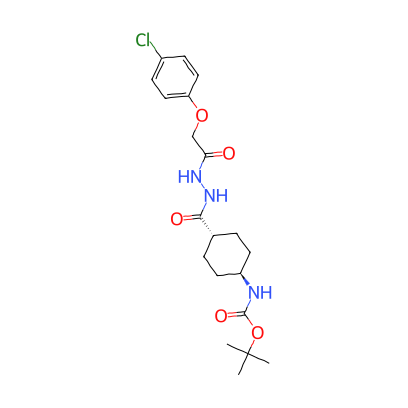 CC(C)(C)OC(=O)N[C@H]1CC[C@H](C(=O)NNC(=O)COc2ccc(Cl)cc2)CC1